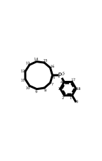 Cc1ccc([P]C2CCCCCCCCCC2)cc1